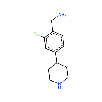 NCc1ccc(C2CCNCC2)cc1F